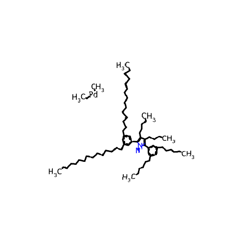 CCCCCCCCCCCCCCCc1cc(CCCCCCCCCCCCCCC)cc(C2=C(CCCCC)C(CCCC)=C(c3cc(CCCCCC)cc(CCCCCC)c3)[N+]2=[N-])c1.C[CH2][Pd][CH2]C